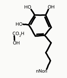 CCCCCCCCCCCCc1cc(O)c(O)c(O)c1.O=C(O)O